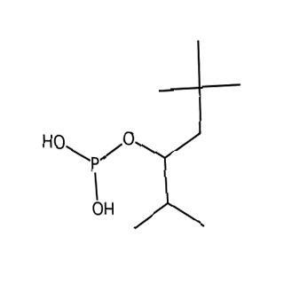 CC(C)C(CC(C)(C)C)OP(O)O